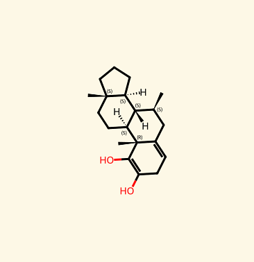 C[C@H]1CC2=CCC(O)=C(O)[C@]2(C)[C@H]2CC[C@]3(C)CCC[C@H]3[C@H]12